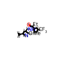 CC[C@H](C(=O)NCc1cc(C2CC2)cnc1OC)c1cccc(C(F)(F)F)c1